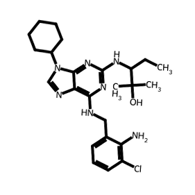 CCC(Nc1nc(NCc2cccc(Cl)c2N)c2ncn(C3CCCCC3)c2n1)C(C)(C)O